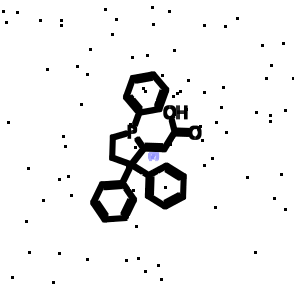 O=C(O)/C=C1\P(c2ccccc2)CCC1(c1ccccc1)c1ccccc1